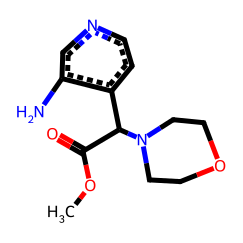 COC(=O)C(c1ccncc1N)N1CCOCC1